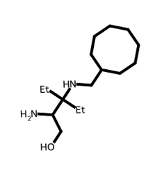 CCC(CC)(NCC1CCCCCCC1)C(N)CO